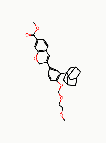 COCCOCOc1ccc(C2=Cc3ccc(C(=O)OC)cc3OC2)cc1C12CC3CC(CC(C3)C1)C2